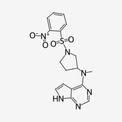 CN(c1ncnc2[nH]ccc12)C1CCN(S(=O)(=O)c2ccccc2[N+](=O)[O-])C1